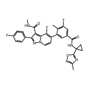 CNC(=O)c1c(C2=C=C=C(F)C=C2)nn2ccc(-c3cc(C(=O)NC4(c5nc(C)no5)CC4)cc(F)c3C)c(F)c12